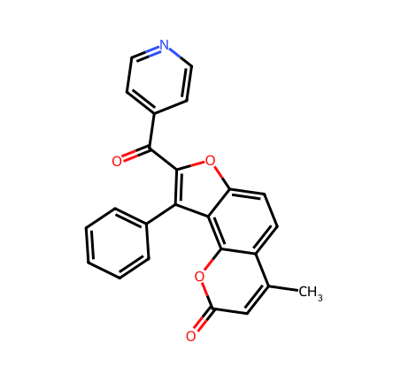 Cc1cc(=O)oc2c1ccc1oc(C(=O)c3ccncc3)c(-c3ccccc3)c12